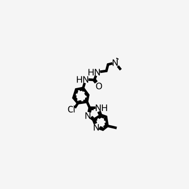 Cc1cnc2nc(-c3cc(NC(=O)NCCN(C)C)ccc3Cl)[nH]c2c1